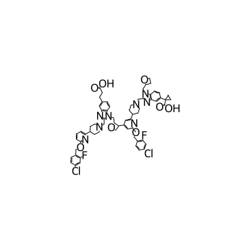 O=C(O)CCc1ccc2c(c1)nc(CN1CCC(c3cccc(OCc4ccc(Cl)cc4F)n3)CC1)n2CC1OCC1c1cc(OCc2ccc(Cl)cc2F)nc(C2CCN(Cc3nc4cc(C5(C(=O)O)CC5)ccc4n3CC3CCO3)CC2)c1